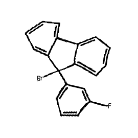 Fc1cccc(C2(Br)c3ccccc3-c3ccccc32)c1